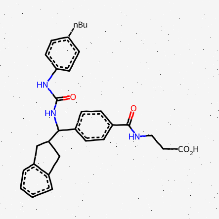 CCCCc1ccc(NC(=O)NC(c2ccc(C(=O)NCCC(=O)O)cc2)C2Cc3ccccc3C2)cc1